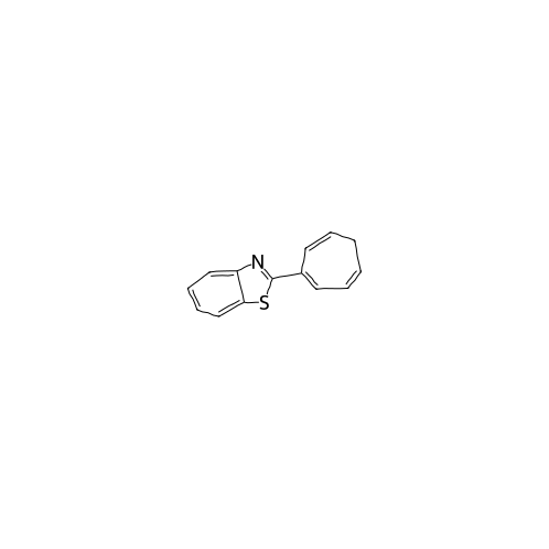 C1=CCC=CC(c2nc3ccccc3s2)=C1